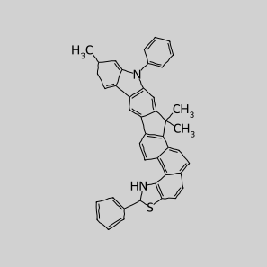 CC1C=c2c(c3cc4c(cc3n2-c2ccccc2)C(C)(C)c2c-4ccc3c2ccc2ccc4c(c23)NC(c2ccccc2)S4)=CC1